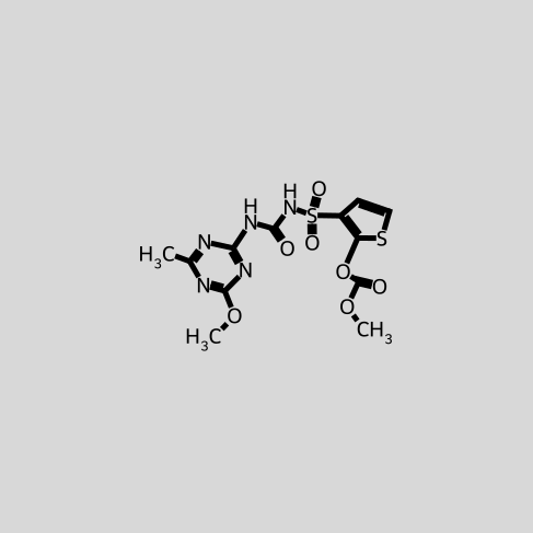 COC(=O)Oc1sccc1S(=O)(=O)NC(=O)Nc1nc(C)nc(OC)n1